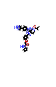 CC(C)C(=O)N1CCc2nc(-c3cccc(OCC(=O)NC4CCCC4)c3)nc(Nc3ccc(-c4cn[nH]c4)cc3)c2C1